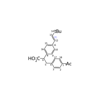 CC(=O)c1ccc(CC(C(=O)O)c2ccc(/C=C/C(C)(C)C)cc2)cc1